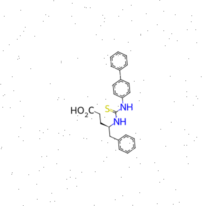 O=C(O)CC[C@H](Cc1ccccc1)NC(=S)Nc1ccc(-c2ccccc2)cc1